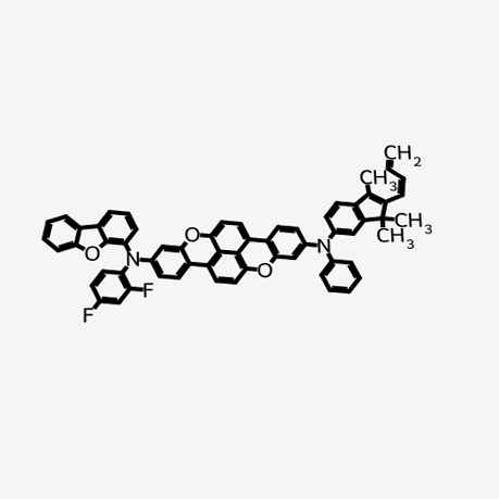 C=C/C=C\C1=C(C)c2ccc(N(c3ccccc3)c3ccc4c(c3)Oc3ccc5c6c(ccc-4c36)Oc3cc(N(c4ccc(F)cc4F)c4cccc6c4oc4ccccc46)ccc3-5)cc2C1(C)C